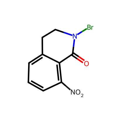 O=C1c2c(cccc2[N+](=O)[O-])CCN1Br